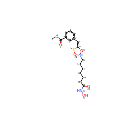 COC(=O)c1cccc(/C=C2/ON(CCCCCCC(=O)NO)OS2)c1